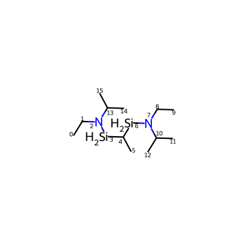 CCN([SiH2]C(C)[SiH2]N(CC)C(C)C)C(C)C